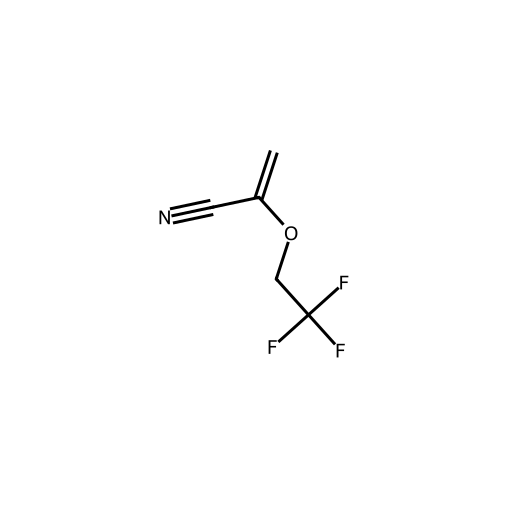 C=C(C#N)OCC(F)(F)F